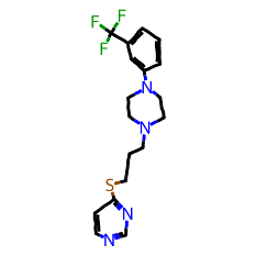 FC(F)(F)c1cccc(N2CCN(CCCSc3ccncn3)CC2)c1